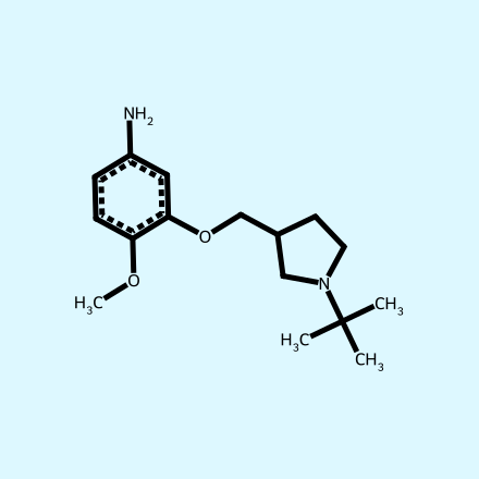 COc1ccc(N)cc1OCC1CCN(C(C)(C)C)C1